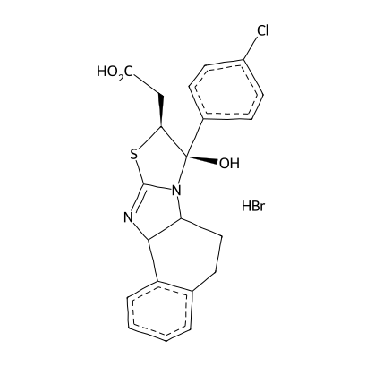 Br.O=C(O)C[C@@H]1SC2=NC3c4ccccc4CCC3N2[C@@]1(O)c1ccc(Cl)cc1